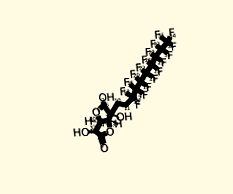 O=C1O[C@H]2[C@H](OC(O)[C@@]2(O)CCC(F)(F)C(F)(F)C(F)(F)C(F)(F)C(F)(F)C(F)(F)C(F)(F)C(F)(F)F)[C@@H]1O